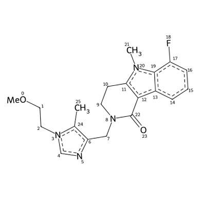 COCCn1cnc(CN2CCc3c(c4cccc(F)c4n3C)C2=O)c1C